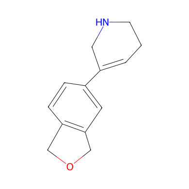 C1=C(c2ccc3c(c2)COC3)CNCC1